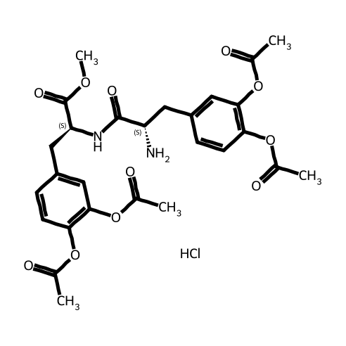 COC(=O)[C@H](Cc1ccc(OC(C)=O)c(OC(C)=O)c1)NC(=O)[C@@H](N)Cc1ccc(OC(C)=O)c(OC(C)=O)c1.Cl